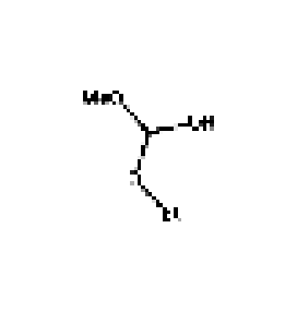 CCOC(O)OC